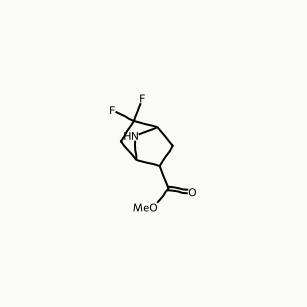 COC(=O)C1CC2NC1CC2(F)F